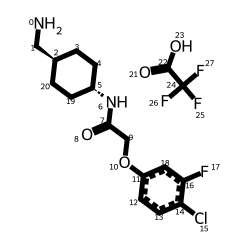 NC[C@H]1CC[C@H](NC(=O)COc2ccc(Cl)c(F)c2)CC1.O=C(O)C(F)(F)F